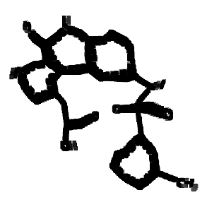 Cc1cccc(S(=O)(=O)Nc2ccc3[nH]c(=O)c4[nH]cc(C(=O)O)c4c3c2)c1